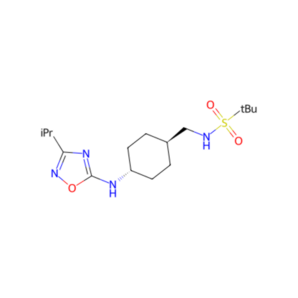 CC(C)c1noc(N[C@H]2CC[C@H](CNS(=O)(=O)C(C)(C)C)CC2)n1